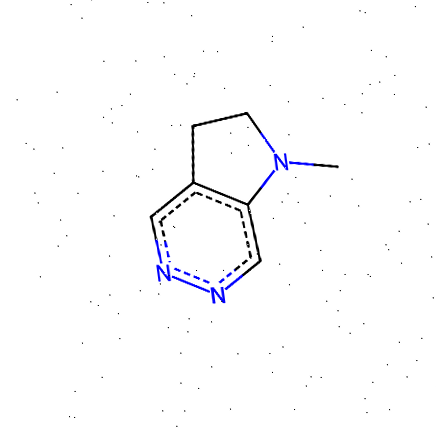 CN1CCc2cnncc21